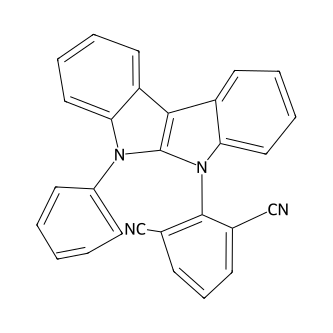 N#Cc1cccc(C#N)c1-n1c2ccccc2c2c3ccccc3n(-c3ccccc3)c21